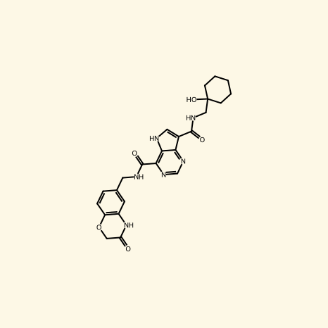 O=C1COc2ccc(CNC(=O)c3ncnc4c(C(=O)NCC5(O)CCCCC5)c[nH]c34)cc2N1